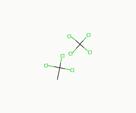 CC(Cl)(Cl)Cl.ClC(Cl)(Cl)Cl